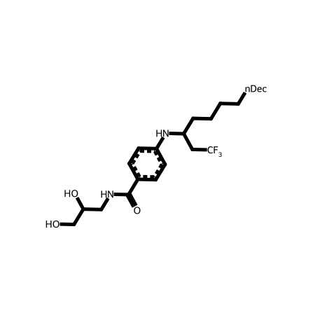 CCCCCCCCCCCCCCC(CC(F)(F)F)Nc1ccc(C(=O)NCC(O)CO)cc1